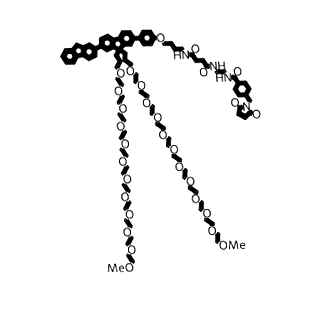 COCCOCCOCCOCCOCCOCCOCCOCCOCCOCCOCCOCCCC1(CCCOCCOCCOCCOCCOCCOCCOCCOCCOCCOCCOCCOC)c2cc(-c3ccc(OCCCCNC(=O)CCC(=O)NCCNC(=O)C4CCC(CN5C(=O)C=CC5=O)CC4)cc3)ccc2-c2ccc(-c3ccc4c(c3)Cc3ccccc3-4)cc21